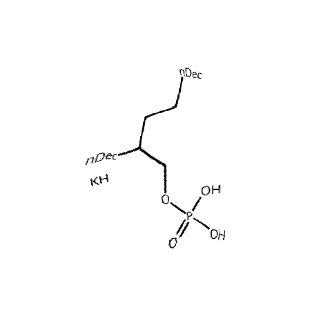 CCCCCCCCCCCCC(CCCCCCCCCC)COP(=O)(O)O.[KH]